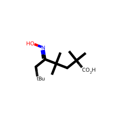 CC(C)(C)C/C(=N\O)C(C)(C)CC(C)(C)C(=O)O